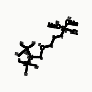 CC[Si](CCCOCN([Si](C)(C)C)[Si](C)(C)C)(OC)OC